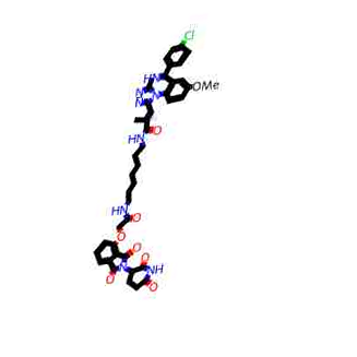 COc1ccc(-n2c(C)nnc2/C=C(\C)C(=O)NCCCCCCCNC(=O)COc2cccc3c2C(=O)N(C2CCC(=O)NC2=O)C3=O)c(C(=N)c2ccc(Cl)cc2)c1